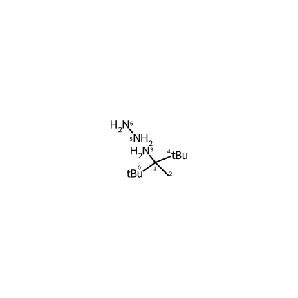 CC(C)(C)C(C)(N)C(C)(C)C.NN